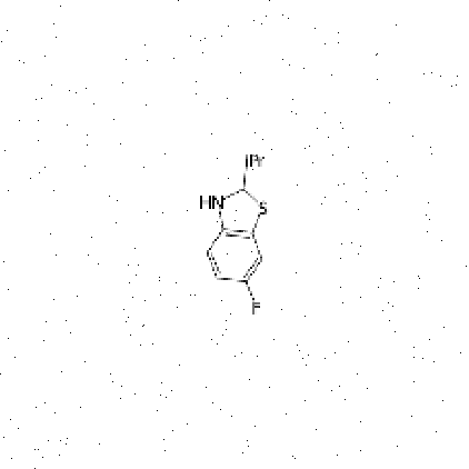 CC(C)C1Nc2ccc(F)cc2S1